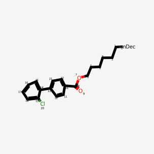 CCCCCCCCCCCCCCCCOC(=O)c1ccc(-c2ccccc2Cl)cc1